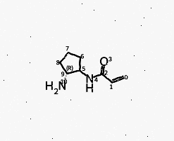 C=CC(=O)NC1CCC[C@H]1N